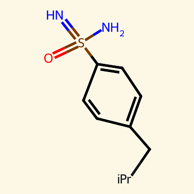 CC(C)Cc1ccc(S(=N)(N)=O)cc1